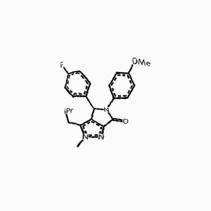 COc1ccc(N2C(=O)c3nn(C)c(CC(C)C)c3C2c2ccc(F)cc2)cc1